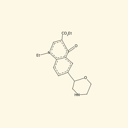 CCOC(=O)c1cn(CC)c2ccc(C3CNCCO3)cc2c1=O